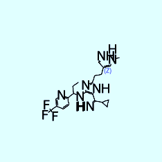 CCC(Nc1nc(CC/C(C=N)=C/NC)[nH]c1C(=N)C1CC1)c1ccc(C(F)(F)F)cn1